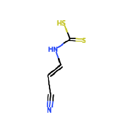 N#C/C=C/NC(=S)S